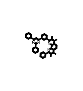 Cc1c(-c2ccccc2)nc2c(ccc3c(C)c(C)c(-c4cccc(-c5cc(-c6ccccc6)nc(-c6ccccc6)n5)c4)nc32)c1C